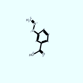 C=NOc1cccc(C(=O)O)c1